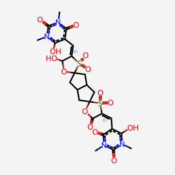 Cn1c(O)c(/C=C2\C(=O)OC3(CC4CC5(CC4C3)OC(O)/C(=C\c3c(O)n(C)c(=O)n(C)c3=O)S5(=O)=O)S2(=O)=O)c(=O)n(C)c1=O